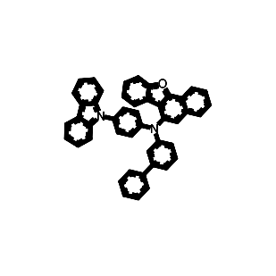 c1ccc(-c2cccc(N(c3ccc(-n4c5ccccc5c5ccccc54)cc3)c3cc4ccccc4c4oc5ccccc5c34)c2)cc1